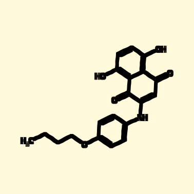 CCCCOc1ccc(NC2=CC(=O)c3c(O)ccc(O)c3C2=O)cc1